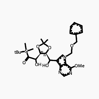 COc1ncnc2c(C(O)[C@@H]3OC(C)(C)O[C@@H]3C(O)C(=O)[Si](C)(C)C(C)(C)C)cn(COCc3ccccc3)c12